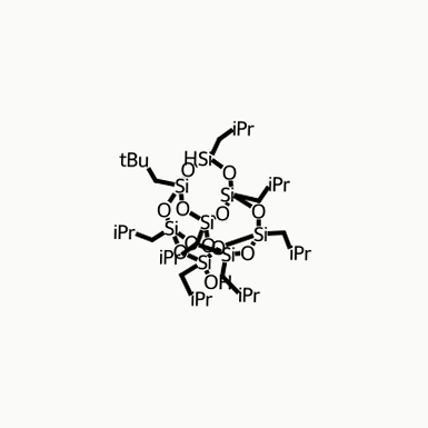 CC(C)C[SiH]1O[Si]2(CC(C)C)O[Si]3(CC(C)C)O[Si](O)(CC(C)C)O[Si]4(CC(C)C)O[Si](CC(C)(C)C)(O1)O[Si](CC(C)C)(O2)O[Si](CC(C)C)(O3)O4